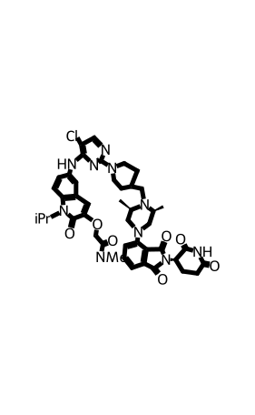 CNC(=O)COc1cc2cc(Nc3nc(N4CCC(CN5[C@H](C)CN(c6cccc7c6C(=O)N([C@@H]6CCC(=O)NC6=O)C7=O)C[C@@H]5C)CC4)ncc3Cl)ccc2n(C(C)C)c1=O